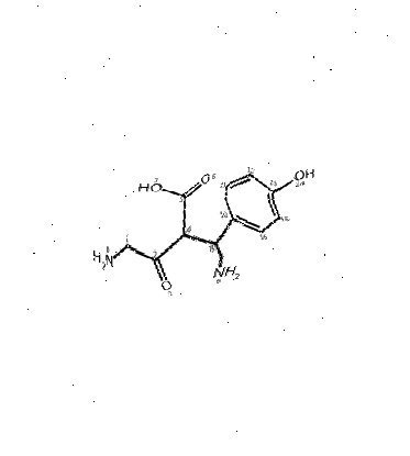 NCC(=O)C(C(=O)O)C(N)c1ccc(O)cc1